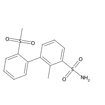 Cc1c(-c2ccccc2S(C)(=O)=O)cccc1S(N)(=O)=O